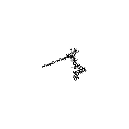 CCC1C(=O)OCc2c1cc1n(c2=O)Cc2c-1nc1cc(F)c(C)c3c1c2[C@@H](NC(=O)C(O)c1ccc(NC(=O)[C@H](CCCNC(N)=O)NC(=O)[C@@H](NC(=O)CCOCCOCCOCCOCCOCCOCCI)C(C)C)cc1)CC3